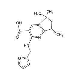 CC1CC(C)(C)c2cc(C(=O)O)c(NCc3ccco3)nc21